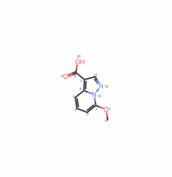 COc1cccc2c(C(=O)O)cnn12